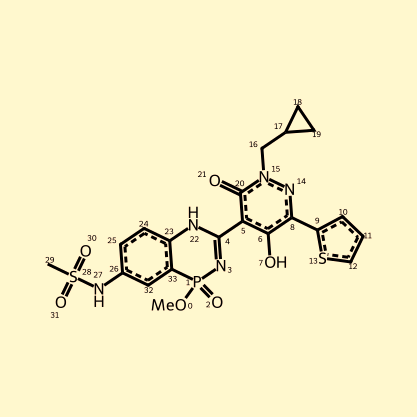 COP1(=O)N=C(c2c(O)c(-c3cccs3)nn(CC3CC3)c2=O)Nc2ccc(NS(C)(=O)=O)cc21